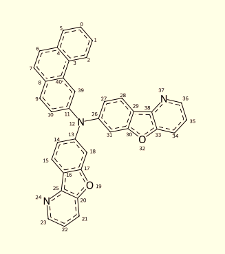 c1ccc2c(c1)ccc1ccc(N(c3ccc4c(c3)oc3cccnc34)c3ccc4c(c3)oc3cccnc34)cc12